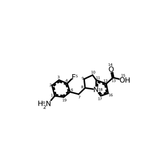 Nc1ccc(F)c(CC2CCc3c(C(=O)O)ccn32)c1